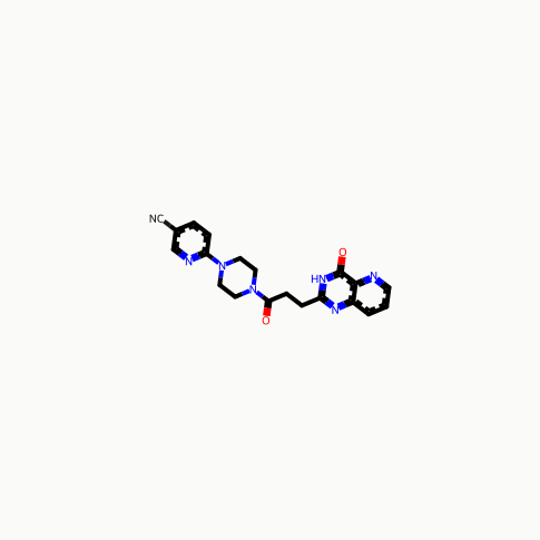 N#Cc1ccc(N2CCN(C(=O)CCc3nc4cccnc4c(=O)[nH]3)CC2)nc1